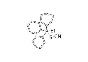 CCP(SC#N)(c1ccccc1)(c1ccccc1)c1ccccc1